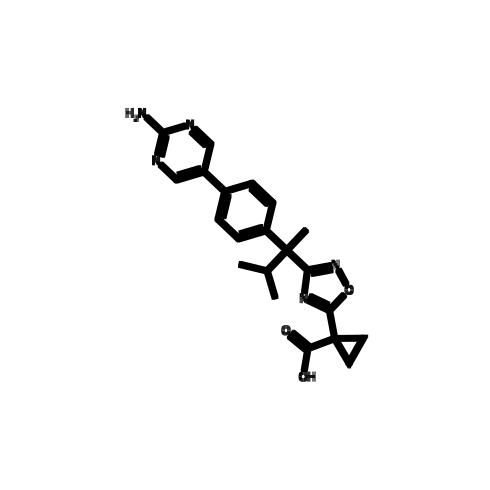 CC(C)C(C)(c1ccc(-c2cnc(N)nc2)cc1)c1noc(C2(C(=O)O)CC2)n1